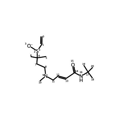 C=C[S+]([O-])C(C)(C)CCN(C)C/C=C/C(=O)NC(C)(C)C